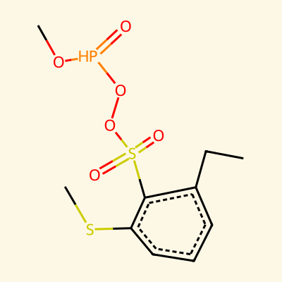 CCc1cccc(SC)c1S(=O)(=O)OO[PH](=O)OC